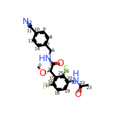 CO[C@H](C(=O)NCc1ccc(C#N)cc1)c1c(F)ccc(NC(C)=O)c1F